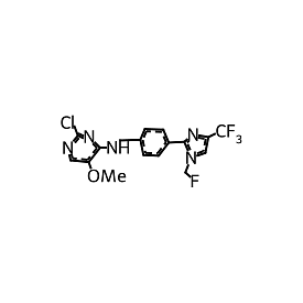 COc1cnc(Cl)nc1NCc1ccc(-c2nc(C(F)(F)F)cn2CF)cc1